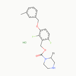 CCC1CNCCN1C(=O)OCc1c(F)ccc(OCc2cccc(C)c2)c1F.Cl